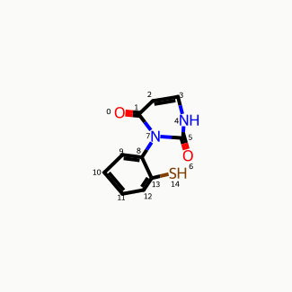 O=c1cc[nH]c(=O)n1-c1ccccc1S